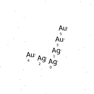 [Ag].[Ag].[Ag].[Au].[Au].[Au]